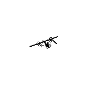 CCCCCCCCCCCOC(=O)CCCCCN(CCCCCCCC(=O)OC(CCCCCCCC)CCCCCCCC)CCCNC(=C[N+](=O)[O-])NC